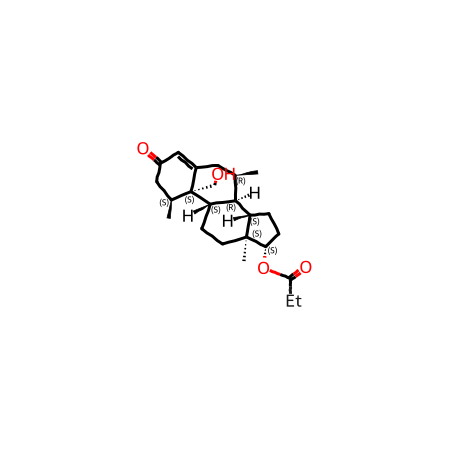 CCC(=O)O[C@H]1CC[C@H]2[C@@H]3[C@H](C)CC4=CC(=O)C[C@H](C)[C@]4(CO)[C@H]3CC[C@]12C